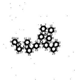 c1ccc([Si](c2ccccc2)(c2ccccc2)c2cccc(N(c3ccc(-c4cccc5ccccc45)cc3)c3ccc(-c4cccc5c4c4ccccc4n5-c4cccc5c4sc4ccccc45)cc3)c2)cc1